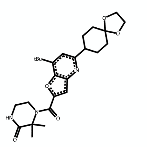 CC(C)(C)c1cc(C2CCC3(CC2)OCCO3)nc2cc(C(=O)N3CCNC(=O)C3(C)C)oc12